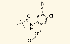 CC(C)(C)C(=O)Nc1cc(C#N)c(Cl)cc1COC=O